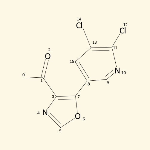 CC(=O)c1ncoc1-c1cnc(Cl)c(Cl)c1